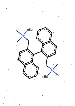 CCCC[N+](C)(C)Cc1ccc2ccccc2c1-c1c(C[N+](C)(C)CCCC)ccc2ccccc12